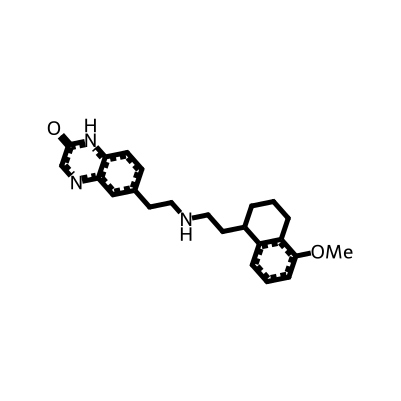 COc1cccc2c1CCCC2CCNCCc1ccc2[nH]c(=O)cnc2c1